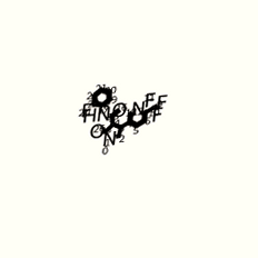 CN1CC(c2ccc(C(F)(F)F)nc2)C(C(=O)Nc2ccccc2F)C1=O